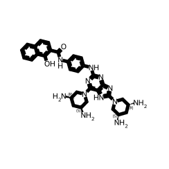 N[C@@H]1C[C@H](N)CN(c2nc3nc(Nc4ccc(NC(=O)c5ccc6ccccc6c5O)cc4)nc(N4C[C@H](N)C[C@H](N)C4)c3[nH]2)C1